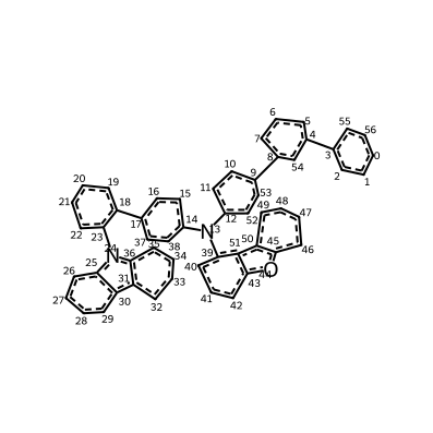 c1ccc(-c2cccc(-c3ccc(N(c4ccc(-c5ccccc5-n5c6ccccc6c6ccccc65)cc4)c4cccc5oc6ccccc6c45)cc3)c2)cc1